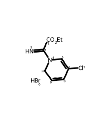 Br.CCOC(=O)C(=N)N1C=C(Cl)C=CC1